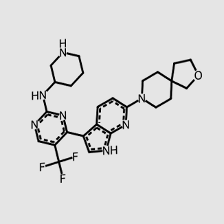 FC(F)(F)c1cnc(NC2CCCNC2)nc1-c1c[nH]c2nc(N3CCC4(CCOC4)CC3)ccc12